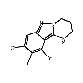 Fc1c(Cl)cc2nn3c(c2c1Br)NCCC3